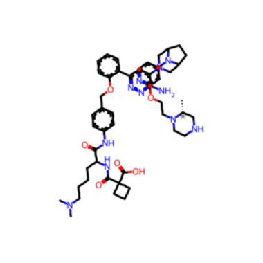 C[C@@H]1CNCCN1CCOc1cc(N2C3CCC2CN(c2cc(-c4ccccc4OCc4ccc(NC(=O)C(CCCCN(C)C)NC(=O)C5(C(=O)O)CCC5)cc4)nnc2N)C3)ccn1